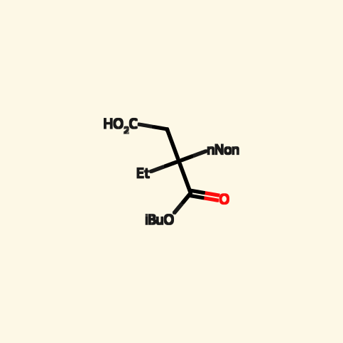 CCCCCCCCCC(CC)(CC(=O)O)C(=O)OCC(C)C